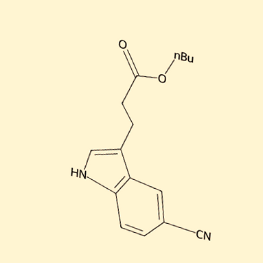 CCCCOC(=O)CCc1c[nH]c2ccc(C#N)cc12